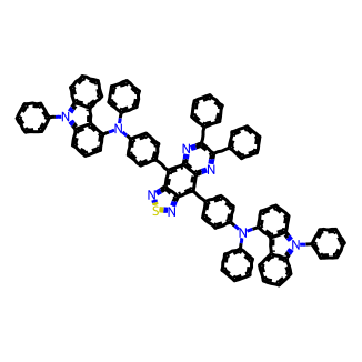 c1ccc(-c2nc3c(-c4ccc(N(c5ccccc5)c5cccc6c5c5ccccc5n6-c5ccccc5)cc4)c4nsnc4c(-c4ccc(N(c5ccccc5)c5cccc6c5c5ccccc5n6-c5ccccc5)cc4)c3nc2-c2ccccc2)cc1